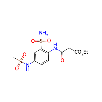 CCOC(=O)CC(=O)Nc1ccc(NS(C)(=O)=O)cc1S(N)(=O)=O